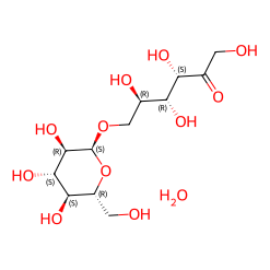 O.O=C(CO)[C@@H](O)[C@H](O)[C@H](O)CO[C@H]1O[C@H](CO)[C@@H](O)[C@H](O)[C@H]1O